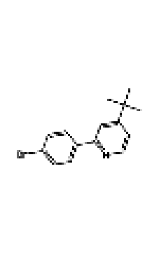 CC(C)(C)c1ccnc(-c2ccc(Br)cc2)c1